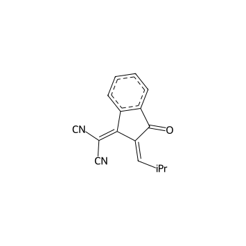 [C-]#[N+]/C(C#N)=C1/C(=C/C(C)C)C(=O)c2ccccc21